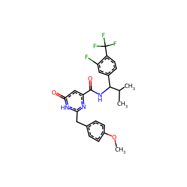 COc1ccc(Cc2nc(C(=O)NC(c3ccc(C(F)(F)F)c(F)c3)C(C)C)cc(=O)[nH]2)cc1